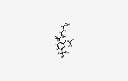 CC(=O)Oc1cc(C(F)(F)F)ccc1C(=O)NCCCO